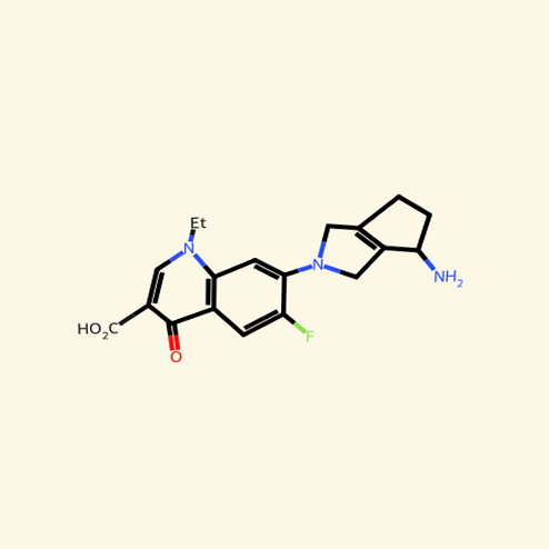 CCn1cc(C(=O)O)c(=O)c2cc(F)c(N3CC4=C(C3)C(N)CC4)cc21